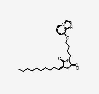 CCCCCCCCCC=C1SC(=O)N(CCCCOc2cccn3ccnc23)C1=O.Cl